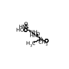 CCCC[C@H](C)N(CCC(=O)NCCNCCc1ccc(O)c2[nH]c(=O)sc12)CCc1ccccc1